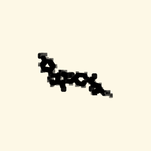 Cc1cc(C(=O)N2CCC(O)(Cn3cnc4c(cnn4-c4ccc(Cl)cc4)c3=O)CC2)on1